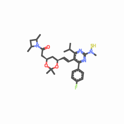 CC(C)c1nc(N(C)S)nc(-c2ccc(F)cc2)c1/C=C/[C@@H]1C[C@H](CC(=O)N2C(C)CC2C)OC(C)(C)O1